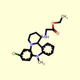 CCOC(=O)CN[C@H]1CCCN2c3cc(Cl)ccc3N(C)c3ccccc3C12